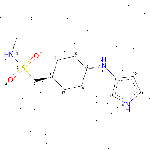 CNS(=O)(=O)C[C@H]1CC[C@H](Nc2cc[nH]c2)CC1